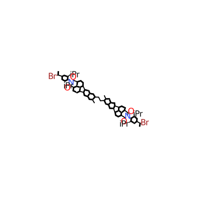 C=C(Br)c1cc(C(C)C)c(N2C(=O)c3ccc4c5c(ccc(c35)C2=O)-c2cc3cc(CCc5cc6cc7c(cc6cc5C)-c5ccc6c8c(ccc-7c58)C(=O)N(c5c(C(C)C)cc(C(=C)Br)cc5C(C)C)C6=O)c(C)cc3cc2-4)c(C(C)C)c1